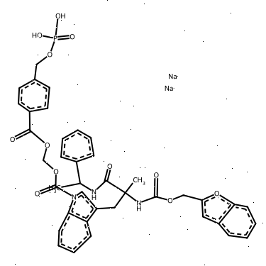 CC(NC(=O)C(C)(Cc1cn(C(=O)OCOC(=O)c2ccc(COP(=O)(O)O)cc2)c2ccccc12)NC(=O)OCc1cc2ccccc2o1)c1ccccc1.[Na].[Na]